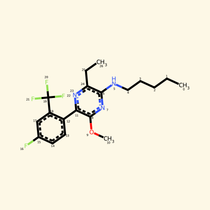 CCCCCNc1nc(OC)c(-c2ccc(F)cc2C(F)(F)F)nc1CC